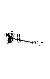 O=C(O)CCCCCCCCCCCCCCC(=O)NCCCCCCOC1C(O[PH](=O)O)C(CO)OC1n1ccc(=O)[nH]c1=O